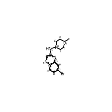 CN1CCN(Nc2cnc3ccc(Br)cc3n2)CC1